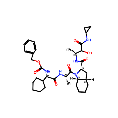 CCC[C@H](NC(=O)[C@@H]1C[C@@H]2CCCC[C@@H]2N1C(=O)[C@@H](NC(=O)[C@@H](NC(=O)OCc1ccccc1)C1CCCCC1)C(C)C)C(O)C(=O)NC1CC1